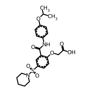 CC(C)Oc1ccc(NC(=O)c2cc(S(=O)(=O)N3CCCCC3)ccc2OCC(=O)O)cc1